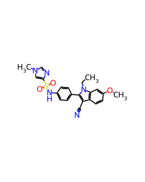 CCn1c(-c2ccc(NS(=O)(=O)c3cn(C)cn3)cc2)c(C#N)c2ccc(OC)cc21